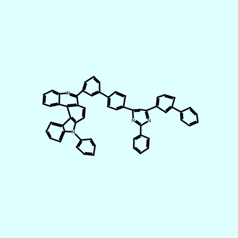 c1ccc(-c2cccc(-c3cc(-c4ccc(-c5cccc(-c6nc7ccccc7c7c6ccc6c7c7ccccc7n6-c6ccccc6)c5)cc4)nc(-c4ccccc4)n3)c2)cc1